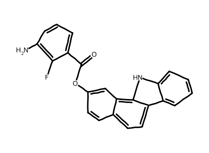 Nc1cccc(C(=O)Oc2ccc3ccc4c5ccccc5[nH]c4c3c2)c1F